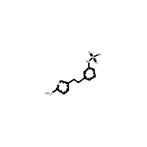 CC(C)S(=O)(=O)Nc1cccc(CCc2ccc(C(=O)O)cc2)c1